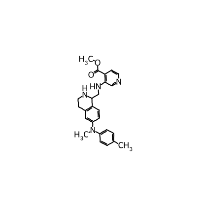 COC(=O)c1ccncc1NCC1NCCc2cc(N(C)c3ccc(C)cc3)ccc21